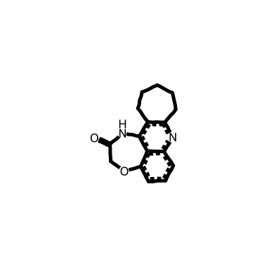 O=C1COc2cccc3nc4c(c(c23)N1)CCCCC4